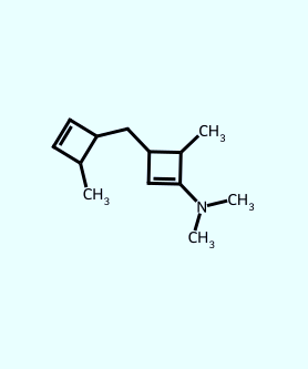 CC1C=CC1CC1C=C(N(C)C)C1C